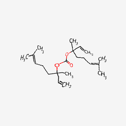 C=CC(C)(CCC=C(C)C)OC(=O)OC(C)(C=C)CCC=C(C)C